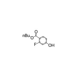 CCCCOC(=O)c1ccc(O)cc1F